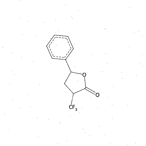 O=C1OC(c2ccccc2)CC1C(F)(F)F